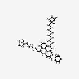 c1ccc(CC(CCCCCCCCCCC2CCCO2)SC(CCCCCCCCCCC2CCCO2)Cc2ccccc2)cc1